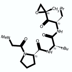 CCCC[C@H](NC(=O)[C@@H]1CCCN1C(=O)CNC)C(=O)N[C@@H](CC(C)C)C(=O)[C@@]1(C)CO1